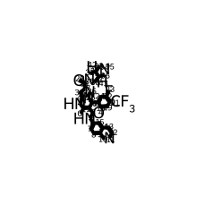 CC1=C(C(=O)Nc2ccc3cnccc3c2)C(c2ccc(C(F)(F)F)c(F)c2)n2nc(C(=O)N3C[C@H]4CN(C)C[C@H]4C3)cc2N1